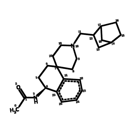 CC(=O)N[C@H]1CCC2(CCN(CC3CC4CCC3C4)CC2)c2ccccc21